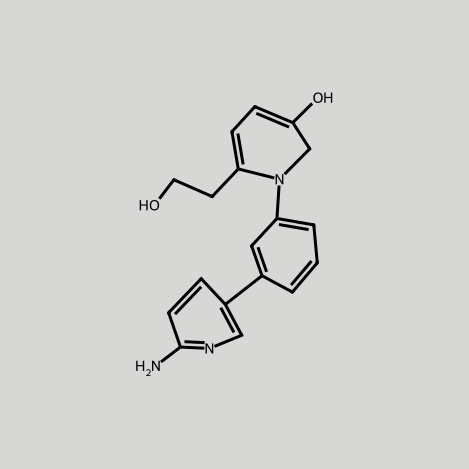 Nc1ccc(-c2cccc(N3CC(O)=CC=C3CCO)c2)cn1